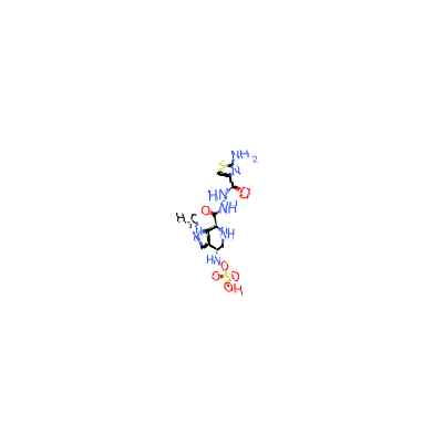 Cn1ncc2c1[C@@H](C(=O)NNC(=O)c1csc(N)n1)NC[C@@H]2NOS(=O)(=O)O